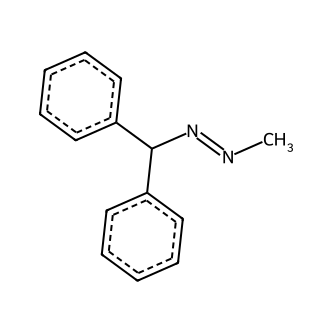 CN=NC(c1ccccc1)c1ccccc1